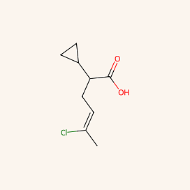 CC(Cl)=CCC(C(=O)O)C1CC1